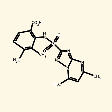 Cc1cc(C)n2nc(S(=O)(=O)Nc3c(C(=O)O)ccc(C)c3C)nc2n1